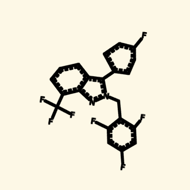 Fc1ccc(-c2c3cccc(C(F)(F)F)c3nn2Cc2c(F)cc(F)cc2F)cc1